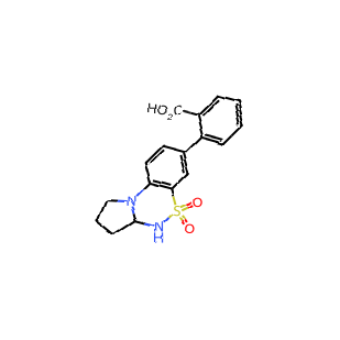 O=C(O)c1ccccc1-c1ccc2c(c1)S(=O)(=O)NC1CCCN21